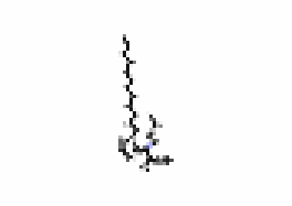 CCCCCCCCCCCCn1nnnc1/C(=N\OCC)C(=O)O